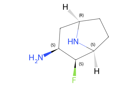 N[C@H]1C[C@H]2CC[C@H](N2)[C@H]1F